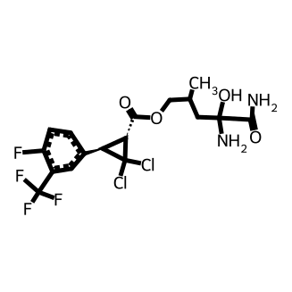 CC(COC(=O)[C@H]1[C@H](c2ccc(F)c(C(F)(F)F)c2)C1(Cl)Cl)CC(N)(O)C(N)=O